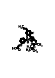 CCCc1ccc(-c2cc(CN(C)C(=O)OC(C)(C)C)cn2S(=O)(=O)c2cccc(OCC(=O)O)c2)c(F)c1